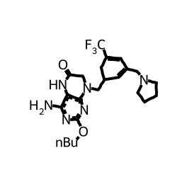 CCCCOc1nc(N)c2c(n1)N(CC1C=C(CN3CCCC3)C=C(C(F)(F)F)C1)CC(=O)N2